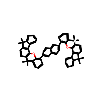 CC1(C)c2cccc(-c3ccc4cc(-c5cccc6c5Oc5c(ccc7c5-c5ccccc5C7(C)C)[Si]6(C)C)ccc4c3)c2Oc2c1ccc1c2-c2ccccc2C1(C)C